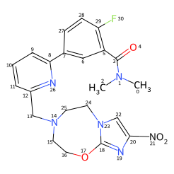 CN(C)C(=O)c1cc(-c2cccc(CN3CCOc4nc([N+](=O)[O-])cn4CC3)n2)ccc1F